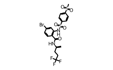 C=C(CCC(F)(F)F)NC(=O)c1ccc(Br)cc1NS(=O)(=O)c1ccc(S(C)(=O)=O)cc1